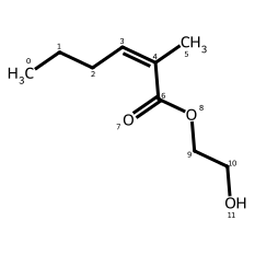 CCCC=C(C)C(=O)OCCO